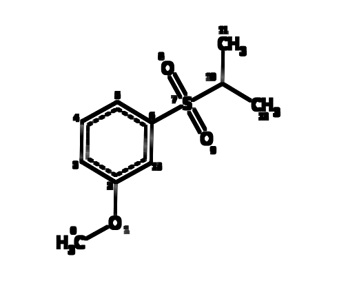 COc1cccc(S(=O)(=O)C(C)C)c1